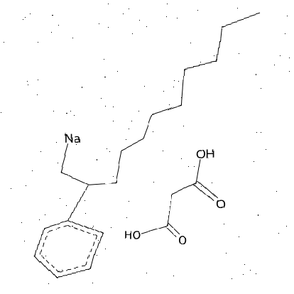 CCCCCCCCCC([CH2][Na])c1ccccc1.O=C(O)CC(=O)O